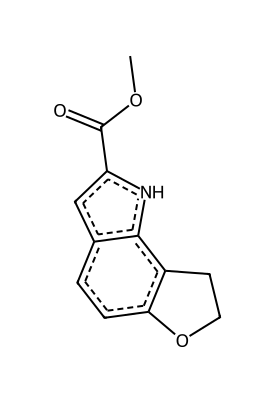 COC(=O)c1cc2ccc3c(c2[nH]1)CCO3